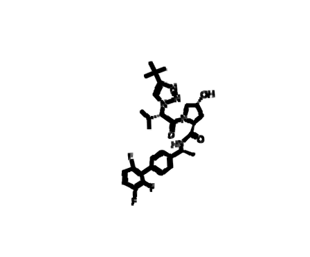 CC(C)[C@@H](C(=O)N1C[C@H](O)C[C@H]1C(=O)N[C@@H](C)c1ccc(-c2c(F)ccc(F)c2F)cc1)n1cc(C(C)(C)C)nn1